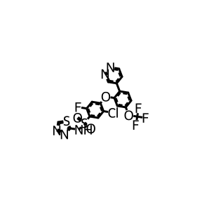 O=S(=O)(Nc1nncs1)c1cc(Cl)c(Oc2cc(OC(F)(F)F)ccc2-c2ccnnc2)cc1F